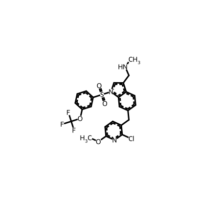 CNCc1cn(S(=O)(=O)c2cccc(OC(F)(F)F)c2)c2cc(Cc3ccc(OC)nc3Cl)ccc12